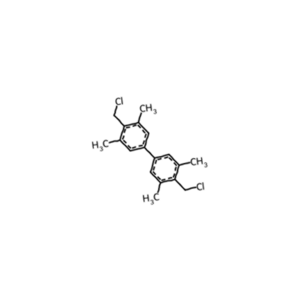 Cc1cc(-c2cc(C)c(CCl)c(C)c2)cc(C)c1CCl